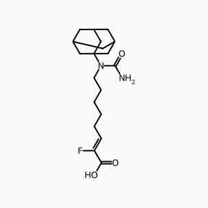 NC(=O)N(CCCCCC=C(F)C(=O)O)C12CC3CC(CC(C3)C1)C2